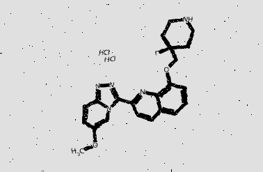 COc1ccc2nnc(-c3ccc4cccc(OCC5(F)CCNCC5)c4n3)n2c1.Cl.Cl